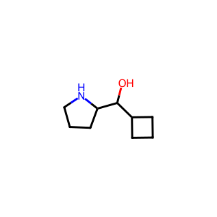 OC(C1CCC1)C1CCCN1